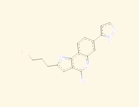 Nc1nc2cc(-c3ccn[nH]3)ccc2c2[nH]c(CCCO)cc12